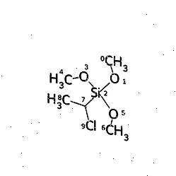 CO[Si](OC)(OC)C(C)Cl